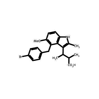 COc1ccc2[nH]c(C)c(C(C)C(C)C(=O)O)c2c1Cc1ccc(Br)cc1